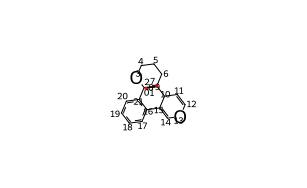 C1=CC23OCCCC2(C=C1)C1C=COC=C1c1ccccc13